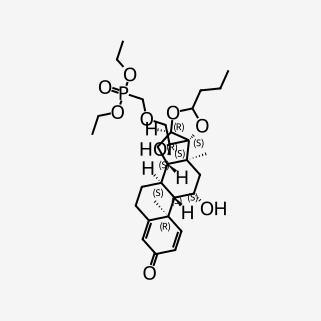 CCCC1O[C@@H]2C[C@H]3[C@@H]4CCC5=CC(=O)C=C[C@]5(C)[C@H]4[C@@H](O)C[C@]3(C)[C@]2([C@](C)(O)COCP(=O)(OCC)OCC)O1